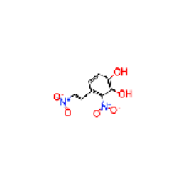 O=[N+]([O-])C=Cc1ccc(O)c(O)c1[N+](=O)[O-]